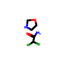 C1COCN1.NC(=O)C(Cl)Cl